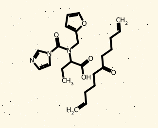 C=CCCCC(=O)CCCC=C.CCC(C(=O)O)N(Cc1ccco1)C(=O)n1ccnc1